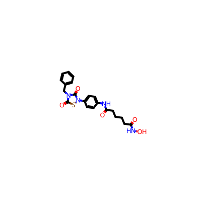 O=C(CCCCC(=O)Nc1ccc(-n2sc(=O)n(Cc3ccccc3)c2=O)cc1)NO